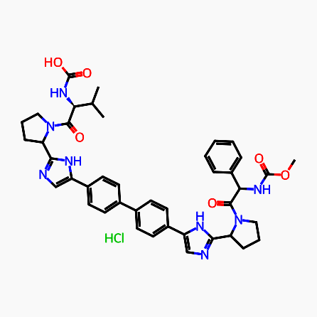 COC(=O)NC(C(=O)N1CCCC1c1ncc(-c2ccc(-c3ccc(-c4cnc(C5CCCN5C(=O)[C@@H](NC(=O)O)C(C)C)[nH]4)cc3)cc2)[nH]1)c1ccccc1.Cl